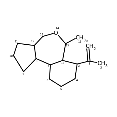 C=C(C)C1CCCC2C3CCCC3COC(C)C12